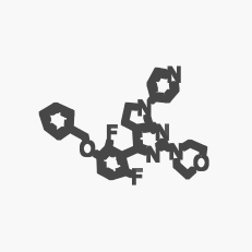 Fc1ccc(OCc2ccccc2)c(F)c1-c1nc(N2CCOCC2)nc2c1CCN2c1ccncc1